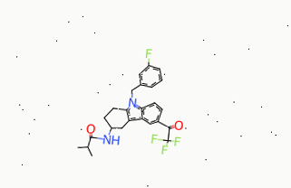 CC(C)C(=O)NC1CCc2c(c3cc(C(=O)C(F)(F)F)ccc3n2Cc2cccc(F)c2)C1